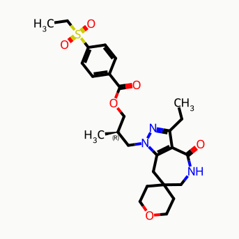 CCc1nn(C[C@@H](C)COC(=O)c2ccc(S(=O)(=O)CC)cc2)c2c1C(=O)NCC1(CCOCC1)C2